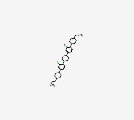 CCCC1CCC(c2ccc(C3CCC(c4ccc(C5CCC(CC)CC5)c(F)c4)CC3)c(F)c2)CC1